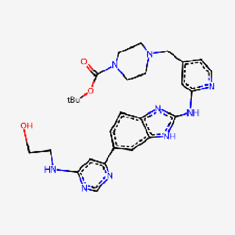 CC(C)(C)OC(=O)N1CCN(Cc2ccnc(Nc3nc4ccc(-c5cc(NCCO)ncn5)cc4[nH]3)c2)CC1